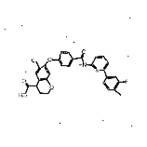 Cc1ccc(-c2cccc(NC(=O)c3ccc(Oc4cc5c(cc4Cl)C(C(=O)O)CCO5)cc3)n2)cc1F